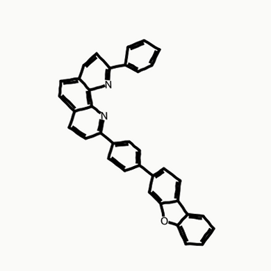 c1ccc(-c2ccc3ccc4ccc(-c5ccc(-c6ccc7c(c6)oc6ccccc67)cc5)nc4c3n2)cc1